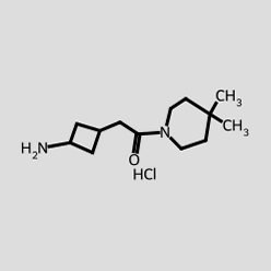 CC1(C)CCN(C(=O)CC2CC(N)C2)CC1.Cl